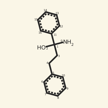 NC(O)(CCc1ccccc1)c1ccccc1